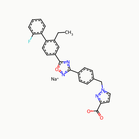 CCc1cc(-c2nc(-c3ccc(Cn4ccc(C(=O)[O-])n4)cc3)no2)ccc1-c1ccccc1F.[Na+]